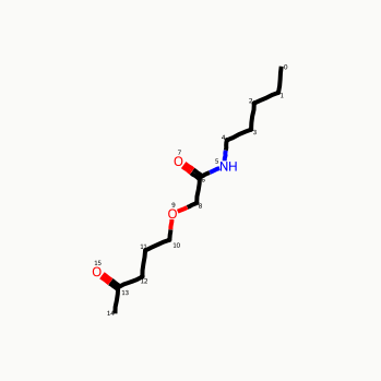 CCCCCNC(=O)COCCCC(C)=O